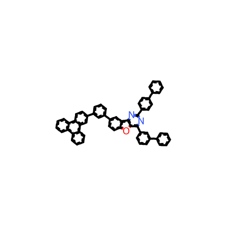 c1ccc(-c2ccc(-c3nc(-c4cccc(-c5ccccc5)c4)c4oc5ccc(-c6cccc(-c7ccc8c9ccccc9c9ccccc9c8c7)c6)cc5c4n3)cc2)cc1